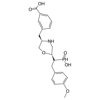 COc1ccc(CC([C@@H]2CN[C@H](Cc3cccc(C(=O)O)c3)CO2)[PH](=O)O)cc1